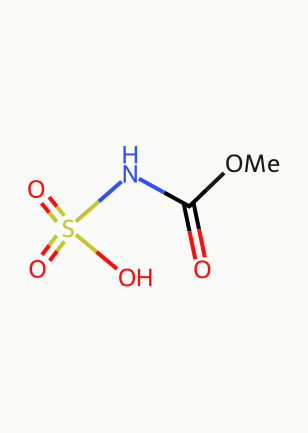 [CH2]OC(=O)NS(=O)(=O)O